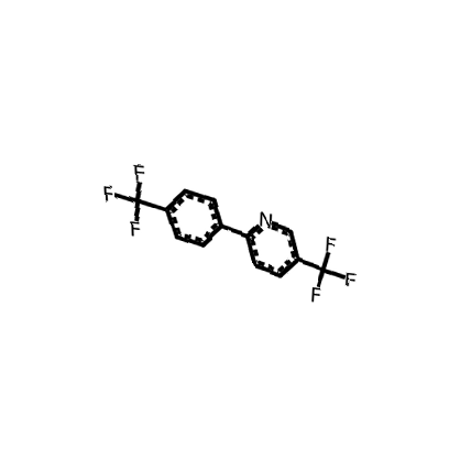 FC(F)(F)c1ccc(-c2ccc(C(F)(F)F)cn2)cc1